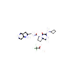 O=C(NCc1cc2cnccc2[nH]1)[C@@H]1CCc2c(Cl)nc(NC3CCC3)c(=O)n21.O=C(O)C(F)(F)F